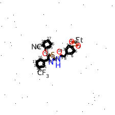 CCS(=O)(=O)c1ccc(CC(=O)Nc2nc(-c3cccc(C(F)(F)F)c3)c(Oc3ccccc3C#N)s2)cc1